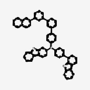 c1cc(-c2ccc(N(c3ccc(-c4cccc5c4oc4ccccc45)cc3)c3ccc4c(c3)oc3ccccc34)cc2)cc(-c2cccc(-c3ccc4ccccc4c3)c2)c1